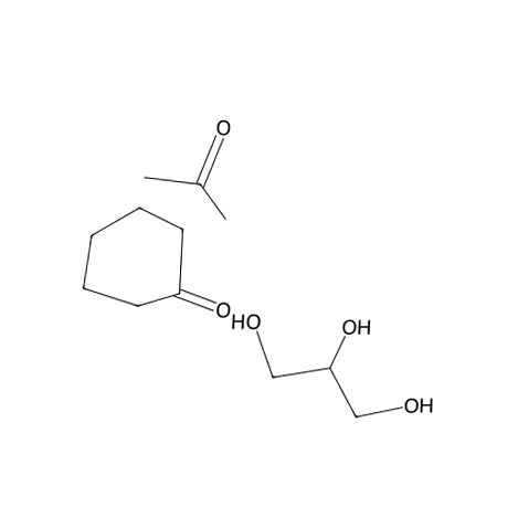 CC(C)=O.O=C1CCCCC1.OCC(O)CO